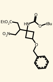 CCOC(=O)CC(C[N+](=O)[O-])C1(NC(=O)OC(C)(C)C)CC(OCc2ccccc2)C1